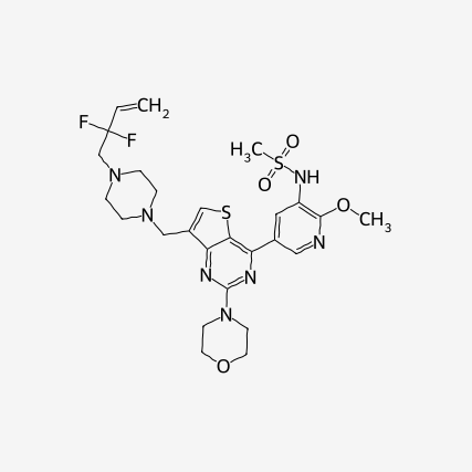 C=CC(F)(F)CN1CCN(Cc2csc3c(-c4cnc(OC)c(NS(C)(=O)=O)c4)nc(N4CCOCC4)nc23)CC1